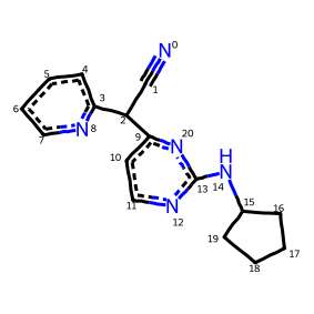 N#CC(c1ccccn1)c1ccnc(NC2CCCC2)n1